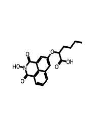 CCCCC(Oc1cc2c3c(cccc3c1)C(=O)N(O)C2=O)C(=O)O